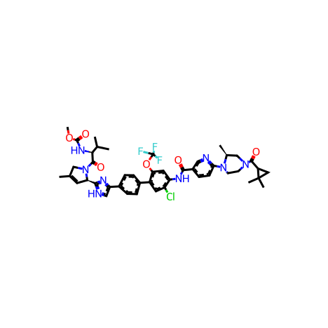 COC(=O)N[C@H](C(=O)N1CC(C)=C[C@@H]1c1nc(-c2ccc(-c3cc(Cl)c(NC(=O)c4ccc(N5CCN(C(=O)C6CC6(C)C)C[C@@H]5C)nc4)cc3OC(F)(F)F)cc2)c[nH]1)C(C)C